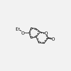 CCOc1ccc2oc(=O)ccc2c1